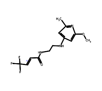 COc1cc(NCCNC(=O)/C=C/C(F)(F)F)cc(C)n1